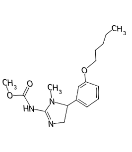 CCCCCOc1cccc(C2CN=C(NC(=O)OC)N2C)c1